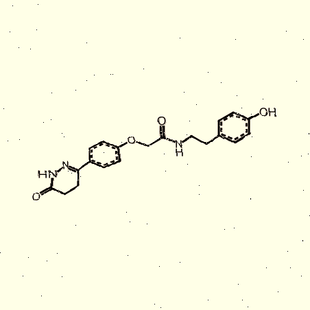 O=C(COc1ccc(C2=NNC(=O)CC2)cc1)NCCc1ccc(O)cc1